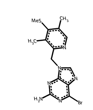 CSc1c(C)cnc(Cn2cnc3c(Br)nc(N)nc32)c1C